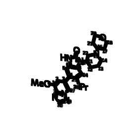 COc1cc(-c2cc3[nH]c(=O)n([C@@H]4CCCN(C5CCOCC5)C4)c3cc2C(C)C)cn2ncnc12